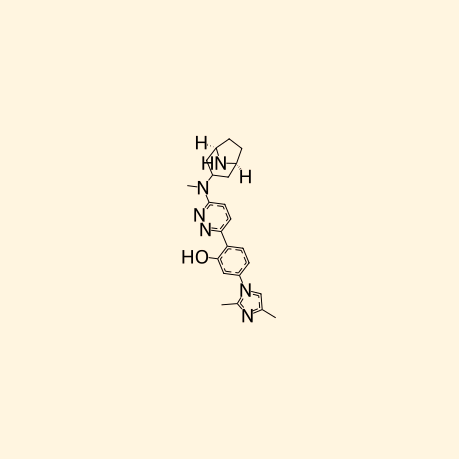 Cc1cn(-c2ccc(-c3ccc(N(C)C4C[C@H]5CC[C@@H](C4)N5)nn3)c(O)c2)c(C)n1